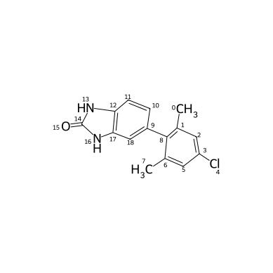 Cc1cc(Cl)cc(C)c1-c1ccc2[nH]c(=O)[nH]c2c1